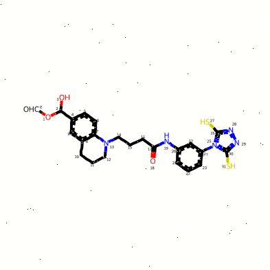 O=COC(O)c1ccc2c(c1)CCCN2CCCC(=O)Nc1cccc(-n2c(S)nnc2S)c1